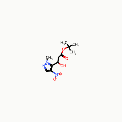 Cn1ncc([N+](=O)[O-])c1C(O)CC(=O)OC(C)(C)C